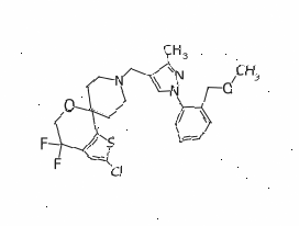 COCc1ccccc1-n1cc(CN2CCC3(CC2)OCC(F)(F)c2cc(Cl)sc23)c(C)n1